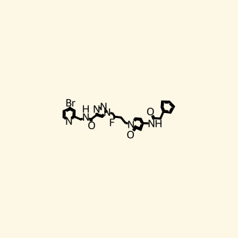 O=C(Cc1ccccc1)Nc1ccn(CCC(F)Cn2cc(C(=O)NCc3cc(Br)ccn3)nn2)c(=O)c1